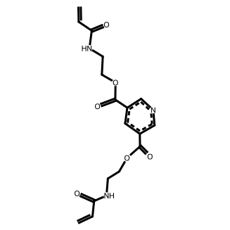 C=CC(=O)NCCOC(=O)c1cncc(C(=O)OCCNC(=O)C=C)c1